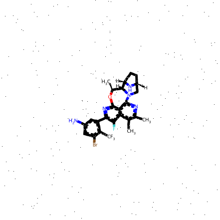 Cc1nc2c3c(nc(-c4cc(N)cc(Br)c4C(F)(F)F)c(F)c3c1C)O[C@@H](C)[C@@H]1[C@@H]3CC[C@H](CN21)N3